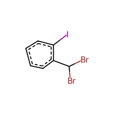 BrC(Br)c1ccccc1I